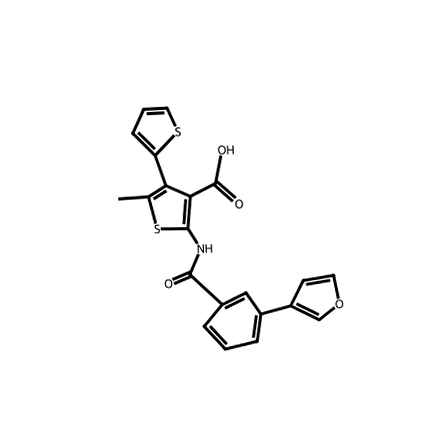 Cc1sc(NC(=O)c2cccc(-c3ccoc3)c2)c(C(=O)O)c1-c1cccs1